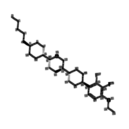 CCCCC[C@H]1CC[C@H]([C@H]2CC[C@H]([C@H]3CC[C@H](c4ccc(OCC)c(F)c4F)CC3)CO2)CC1